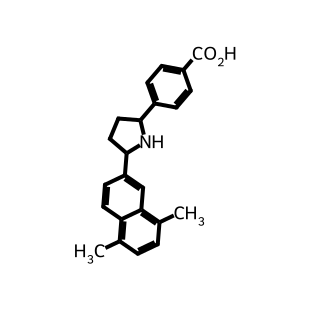 Cc1ccc(C)c2cc(C3CCC(c4ccc(C(=O)O)cc4)N3)ccc12